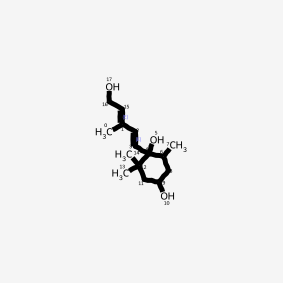 CC(/C=C/C1(O)C(C)CC(O)CC1(C)C)=C\CO